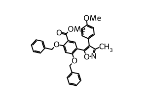 COC(=O)c1cc(-c2onc(C)c2-c2ccc(OC)cc2)c(OCc2ccccc2)cc1OCc1ccccc1